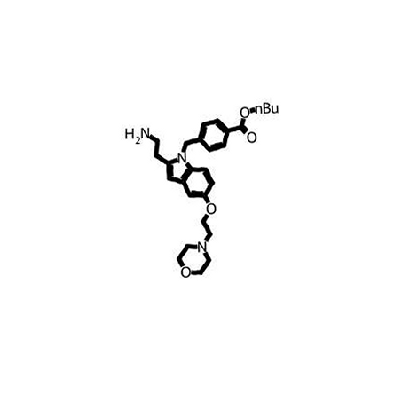 CCCCOC(=O)c1ccc(Cn2c(CCN)cc3cc(OCCN4CCOCC4)ccc32)cc1